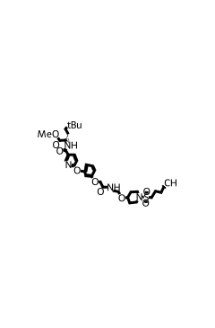 C#CCCCS(=O)(=O)N1CCC(OCCNC(=O)COc2cccc(Oc3ccc(C(=O)N[C@@H](CCC(C)(C)C)C(=O)OC)cn3)c2)CC1